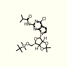 CC(C)C(=O)Nc1nc(Cl)c2ccn([C@@H]3O[C@H](CO[Si](C)(C)C(C)(C)C)[C@H]4OC(C)(C)O[C@H]43)c2n1